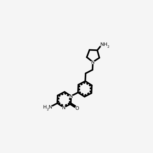 Nc1ccn(-c2cccc(CCN3CCC(N)C3)c2)c(=O)n1